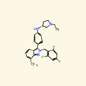 CC(C)CN1CC[C@H](Nc2ccc(-c3c4cccc(C(F)(F)F)c4nn3Cc3c(F)cc(F)cc3F)cc2)C1